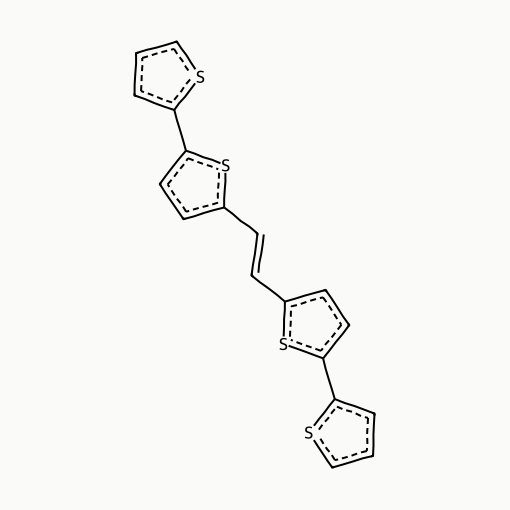 C(=Cc1ccc(-c2cccs2)s1)c1ccc(-c2cccs2)s1